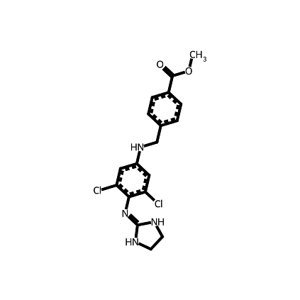 COC(=O)c1ccc(CNc2cc(Cl)c(N=C3NCCN3)c(Cl)c2)cc1